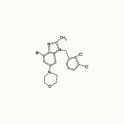 Cc1nc2c(Br)cc(N3CCOCC3)cc2n1Cc1cccc(Cl)c1Cl